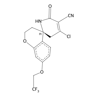 N#CC1=C(Cl)C[C@@]2(CCOc3cc(OCC(F)(F)F)ccc32)NC1=O